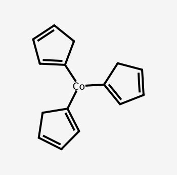 C1=CC[C]([Co]([C]2=CC=CC2)[C]2=CC=CC2)=C1